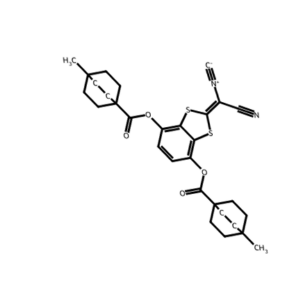 [C-]#[N+]C(C#N)=C1Sc2c(OC(=O)C34CCC(C)(CC3)CC4)ccc(OC(=O)C34CCC(C)(CC3)CC4)c2S1